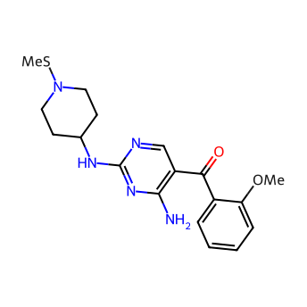 COc1ccccc1C(=O)c1cnc(NC2CCN(SC)CC2)nc1N